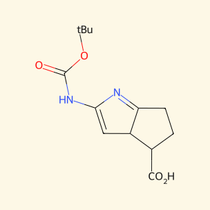 CC(C)(C)OC(=O)NC1=CC2C(=N1)CCC2C(=O)O